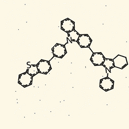 C1=Cc2c(c3cc(-c4ccc5c6ccccc6n(-c6ccc(-c7ccc8c(c7)sc7ccccc78)cc6)c5c4)ccc3n2-c2ccccc2)CC1